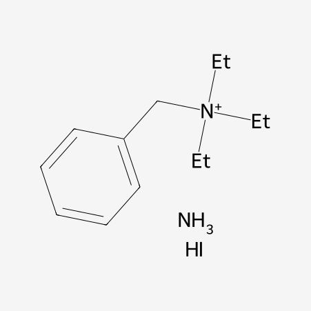 CC[N+](CC)(CC)Cc1ccccc1.I.N